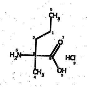 CCCC(C)(N)C(=O)O.Cl